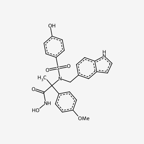 COc1ccc(C(C)(C(=O)NO)N(Cc2ccc3[nH]ccc3c2)S(=O)(=O)c2ccc(O)cc2)cc1